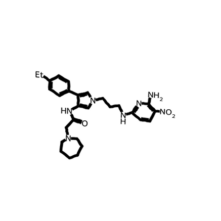 CCc1ccc(-c2cn(CCCNc3ccc([N+](=O)[O-])c(N)n3)cc2NC(=O)CN2CCCCCC2)cc1